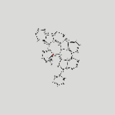 c1ccc(-n2c3cccnc3c3c(-n4c5ccccc5c5ccc6c7ccccc7n(-c7ccccc7)c6c54)cccc32)cc1